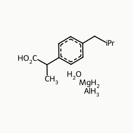 CC(C)Cc1ccc(C(C)C(=O)O)cc1.O.[AlH3].[MgH2]